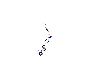 Cc1cc(N2CCN(S(=O)(=O)c3ccc4c(n3)CCN4C(=O)c3ccccc3N(C)S(C)(=O)=O)CC2)nc(OCC#CCNC(=O)OC(C)(C)C)n1